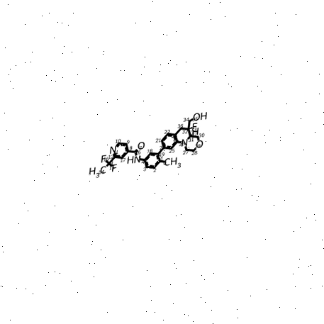 Cc1ccc(NC(=O)c2ccnc(C(C)(F)F)c2)cc1-c1ccc2c(c1)N1CCOC[C@H]1[C@@](F)(CO)C2